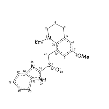 CCN1CCCc2cc(OC)cc(C[S+]([O-])c3nc4ccccc4[nH]3)c21